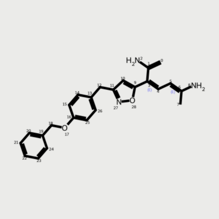 C=C(N)/C(=C\C=C(/C)N)c1cc(Cc2ccc(OCc3ccccc3)cc2)no1